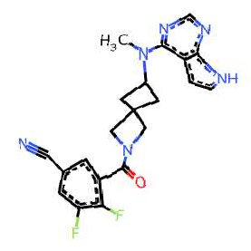 CN(c1ncnc2[nH]ccc12)C1CC2(C1)CN(C(=O)c1cc(C#N)cc(F)c1F)C2